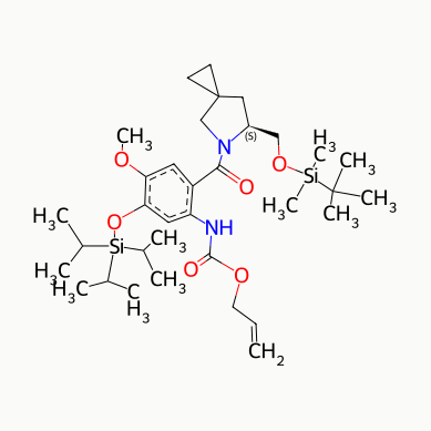 C=CCOC(=O)Nc1cc(O[Si](C(C)C)(C(C)C)C(C)C)c(OC)cc1C(=O)N1CC2(CC2)C[C@H]1CO[Si](C)(C)C(C)(C)C